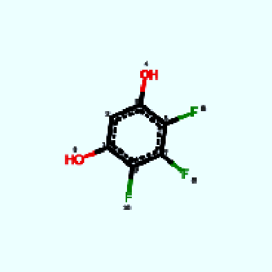 Oc1cc(O)c(F)c(F)c1F